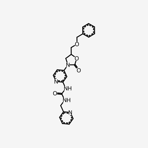 O=C(NCc1ccccn1)Nc1cc(N2CC(COCc3ccccc3)OC2=O)ccn1